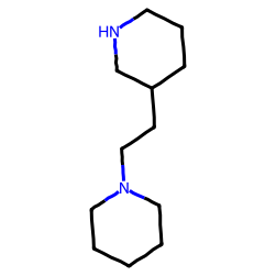 C1CCN(CCC2CCCNC2)CC1